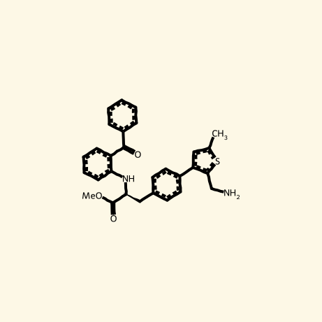 COC(=O)[C@H](Cc1ccc(-c2cc(C)sc2CN)cc1)Nc1ccccc1C(=O)c1ccccc1